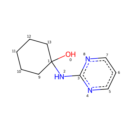 OC1(Nc2ncccn2)CCCCC1